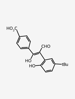 CC(C)(C)c1ccc(O)c(/C(C=O)=C(\O)c2ccc(C(=O)O)cc2)c1